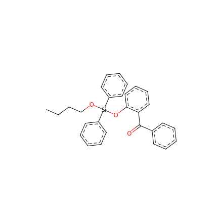 CCCCO[Si](Oc1ccccc1C(=O)c1ccccc1)(c1ccccc1)c1ccccc1